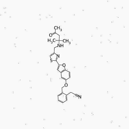 CC(=O)CC(C)(C)NCc1csc(-c2cc3cc(OCc4ccccc4CC#N)ccc3o2)n1